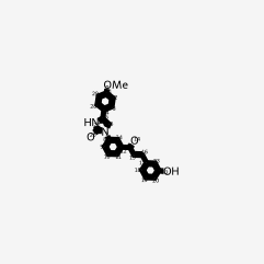 COc1ccc(-c2cn(-c3cccc(C(=O)C=Cc4cccc(O)c4)c3)c(=O)[nH]2)cc1